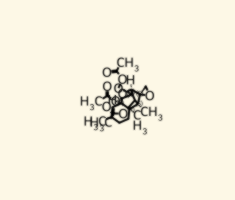 CC(=O)OO[C@]1(OC(C)=O)C(OC(C)=O)[C@]2(C)[C@@]3(C)CCC(C)=C[C@H]3O[C@H]1[C@@]21CO1